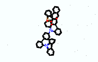 c1cc(-c2ccc3ccccc3c2)cc(N(c2ccc(-c3ccccc3-n3c4ccccc4c4ccccc43)cc2)c2ccccc2-c2ccc3c(c2)sc2ccccc23)c1